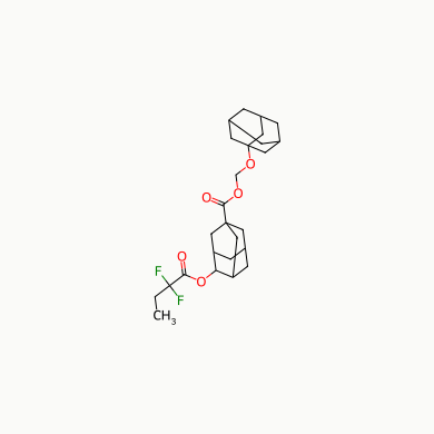 CCC(F)(F)C(=O)OC1C2CC3CC1CC(C(=O)OCOC14CC5CC(CC(C5)C1)C4)(C3)C2